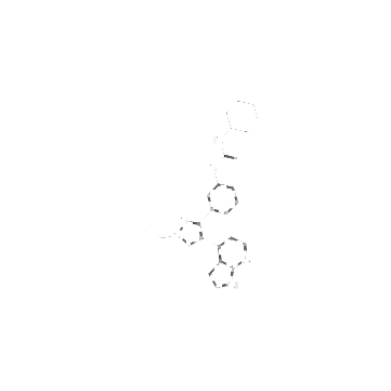 CCn1cc(-c2ccnc3[nH]ccc23)c(-c2cccc(NC(=O)NC3CCCCC3)c2)n1